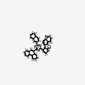 c1ccc2cc(-c3nc(-c4cc5ccccc5c5ccccc45)nc(-c4cccc5oc6c7cccnc7ccc6c45)n3)ccc2c1